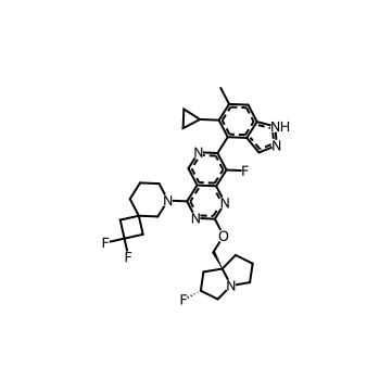 Cc1cc2[nH]ncc2c(-c2ncc3c(N4CCCC5(C4)CC(F)(F)C5)nc(OC[C@@]45CCCN4C[C@H](F)C5)nc3c2F)c1C1CC1